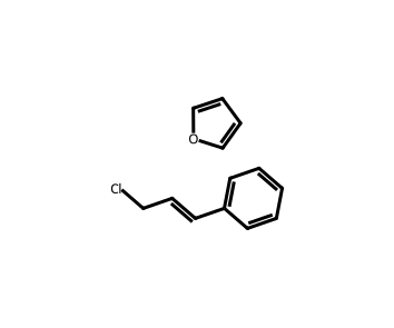 ClCC=Cc1ccccc1.c1ccoc1